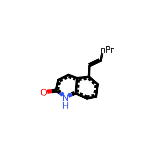 CCCC=Cc1cccc2[nH]c(=O)ccc12